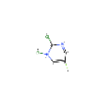 FC1=CN(Cl)C(Cl)N=C1